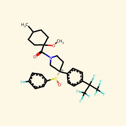 COC1(C(=O)N2CC[C@](c3ccc(C(F)(C(F)(F)F)C(F)(F)F)cc3)([S+]([O-])c3ccc(F)cc3)C2)CCC(C)CC1